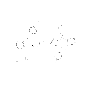 COc1ccc([C@@H]2Sc3ccccc3N(CCN(C)C)C(=O)[C@@H]2OC(=O)CCC(=O)O[C@H]2C(=O)N(CCN(C)C)c3ccccc3S[C@H]2c2ccc(OC)cc2)cc1